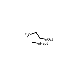 CCCCCCCC.CCCCCCCCCCC(F)(F)F